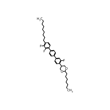 CCCCCCCCCc1ccc(-c2ccc(-c3ccc(C4COC(CCCCCCC)OC4)c(F)c3)cc2)c(F)c1F